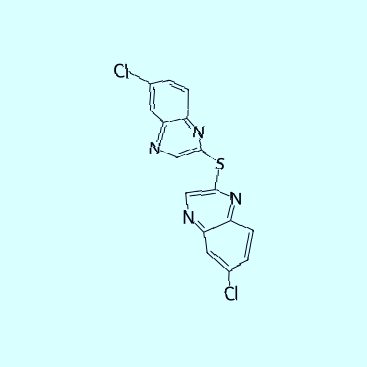 Clc1ccc2nc(Sc3cnc4cc(Cl)ccc4n3)cnc2c1